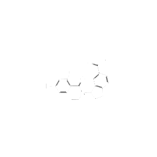 CCN(C(=O)c1ccc(F)cc1Cl)C1CCc2ccc(C(=O)O)cc21